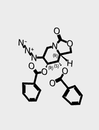 [N-]=[N+]=NC1CN2C(=O)OC[C@@H]2[C@H](OC(=O)c2ccccc2)[C@@H]1OC(=O)c1ccccc1